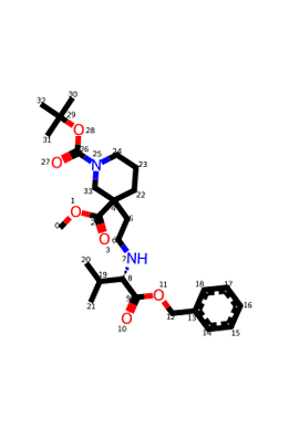 COC(=O)C1(CCN[C@H](C(=O)OCc2ccccc2)C(C)C)CCCN(C(=O)OC(C)(C)C)C1